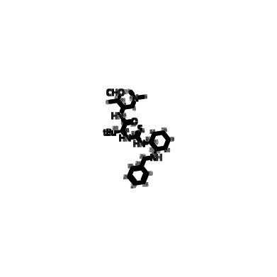 C[C@@H](C=O)C(CN(C)C)NC(=O)[C@@H](NC(=S)N[C@H]1CCCC[C@@H]1NCc1ccccc1)C(C)(C)C